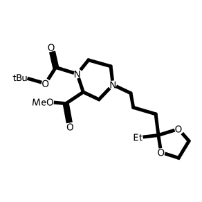 CCC1(CCCN2CCN(C(=O)OC(C)(C)C)C(C(=O)OC)C2)OCCO1